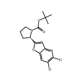 CC(C)(C)OC(=O)N1CCC[C@@H]1c1cc2nc(Cl)c(Cl)cc2o1